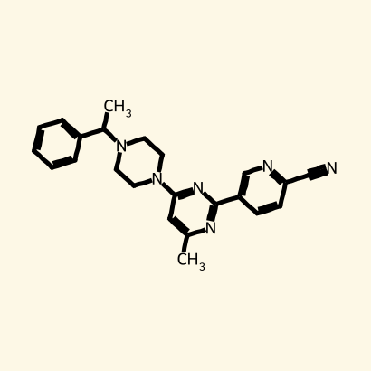 Cc1cc(N2CCN(C(C)c3ccccc3)CC2)nc(-c2ccc(C#N)nc2)n1